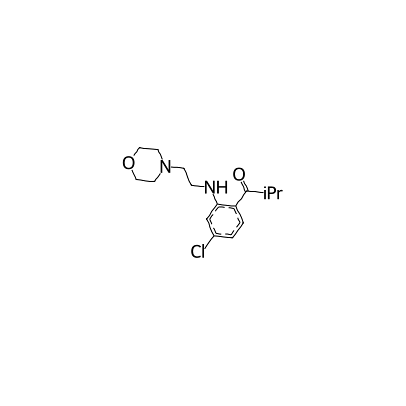 CC(C)C(=O)c1ccc(Cl)cc1NCCN1CCOCC1